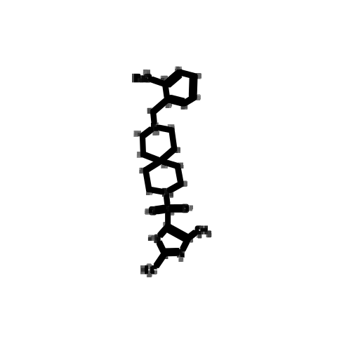 Cc1nc(C)c(S(=O)(=O)N2CCC3(CCN(Cc4ccccc4OCC(C)C)CC3)CC2)s1